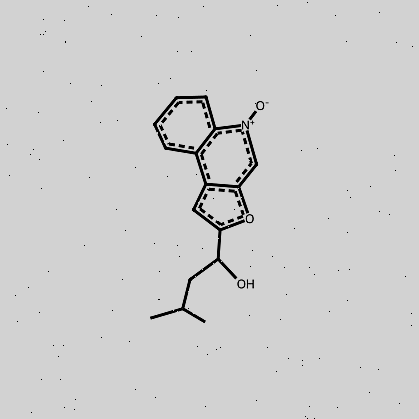 CC(C)CC(O)c1cc2c(c[n+]([O-])c3ccccc23)o1